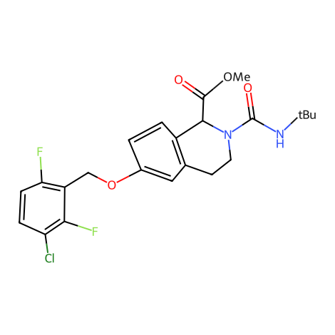 COC(=O)C1c2ccc(OCc3c(F)ccc(Cl)c3F)cc2CCN1C(=O)NC(C)(C)C